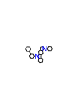 C1=CCC(c2cccc(-n3c4ccccc4c4cc5c(ccn5-c5ccccc5)cc43)c2)C=C1